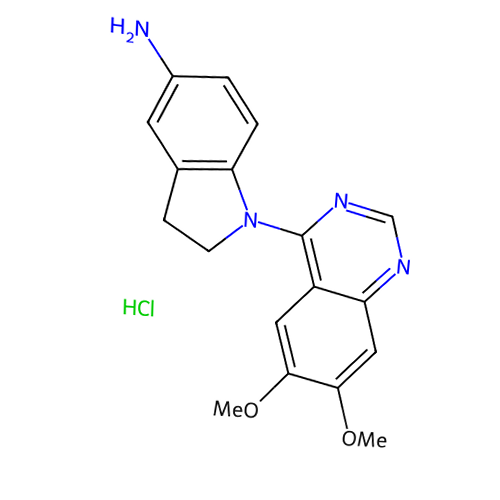 COc1cc2ncnc(N3CCc4cc(N)ccc43)c2cc1OC.Cl